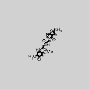 COc1cc(Cl)c(C)cc1NC(=O)CNC(=O)Cn1cnc2sc(C)cc2c1=O